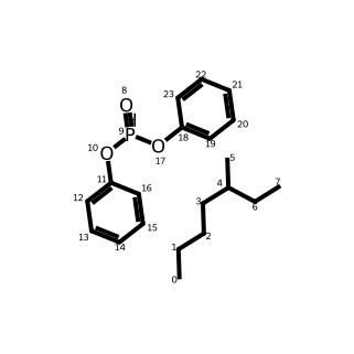 CCCCC(C)CC.O=[PH](Oc1ccccc1)Oc1ccccc1